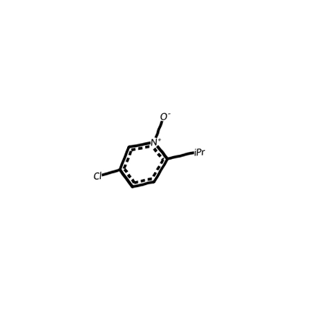 CC(C)c1ccc(Cl)c[n+]1[O-]